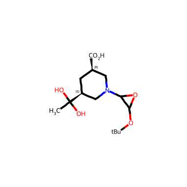 CC(C)(C)OC1OC1N1C[C@H](C(=O)O)C[C@H](C(C)(O)O)C1